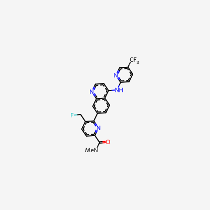 CNC(=O)c1ccc(CF)c(-c2ccc3c(Nc4ccc(C(F)(F)F)cn4)ccnc3c2)n1